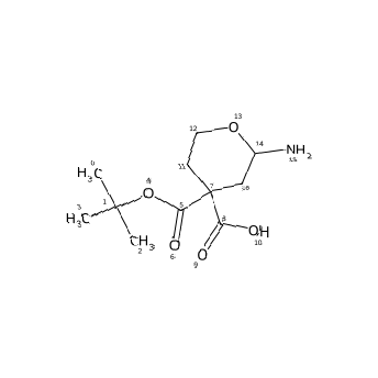 CC(C)(C)OC(=O)C1(C(=O)O)CCOC(N)C1